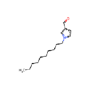 CCCCCCCCCCn1ccc(C=O)c1